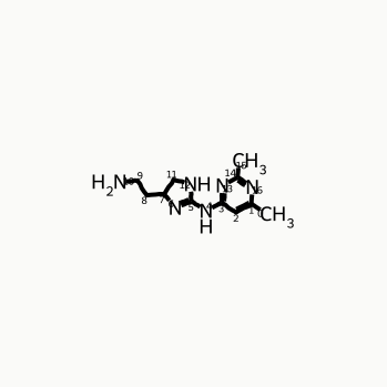 Cc1cc(NC2=NC(CCN)CN2)nc(C)n1